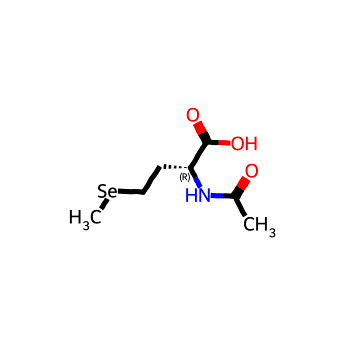 C[Se]CC[C@@H](NC(C)=O)C(=O)O